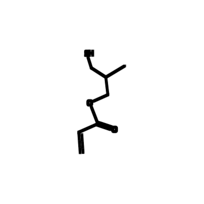 C=CC(=O)OCC(C)CS